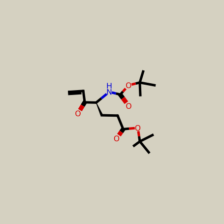 C=CC(=O)[C@H](CCC(=O)OC(C)(C)C)NC(=O)OC(C)(C)C